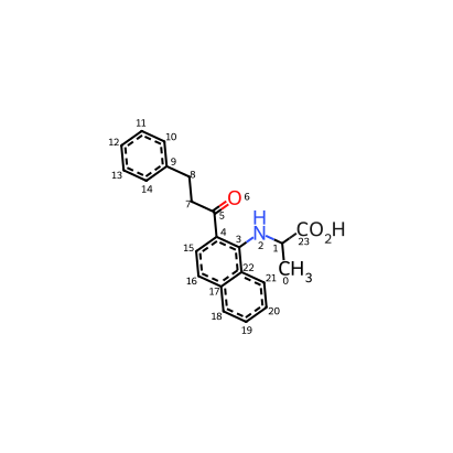 CC(Nc1c(C(=O)CCc2ccccc2)ccc2ccccc12)C(=O)O